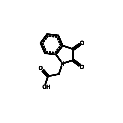 O=C(O)CN1C(=O)C(=O)c2ccccc21